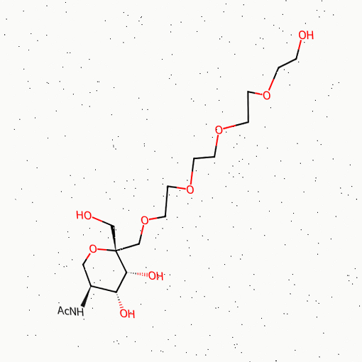 CC(=O)N[C@H]1CO[C@](CO)(COCCOCCOCCOCCO)[C@H](O)[C@@H]1O